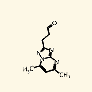 Cc1cc(C)n2nc(CCC=O)nc2n1